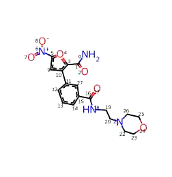 NC(=O)c1oc([N+](=O)[O-])cc1-c1cccc(C(=O)NCCN2CCOCC2)c1